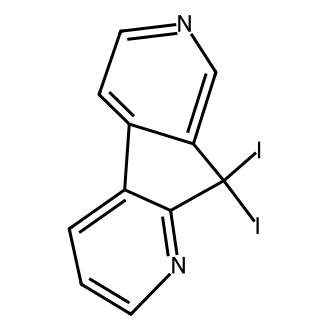 IC1(I)c2cnccc2-c2cccnc21